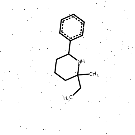 CCC1(C)C[CH]CC(c2ccccc2)N1